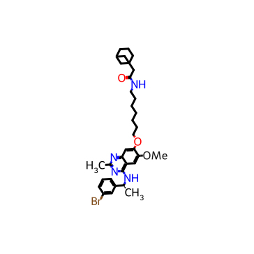 COc1cc2c(N[C@H](C)c3cccc(Br)c3)nc(C)nc2cc1OCCCCCCCNC(=O)CC12CCCC(C1)C2